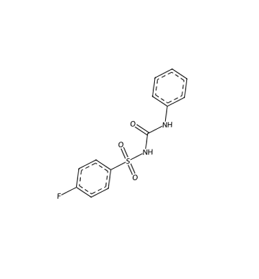 O=C(Nc1ccccc1)NS(=O)(=O)c1ccc(F)cc1